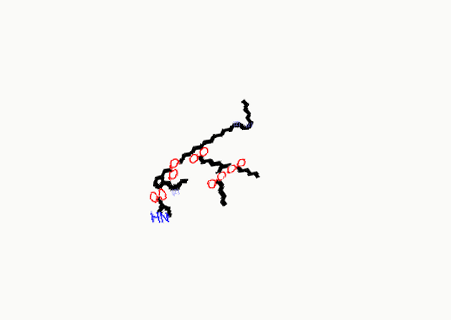 CC/C=C\CC1C(CC(=O)OCCC(CCCCCCCC/C=C\C/C=C\CCCCC)OC(=O)CCCCC(COC(=O)CCCCC)COC(=O)CCCCC)CCC1OC(=O)C1CCNC1